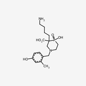 Cc1cc(O)ccc1CN1CCP(=O)(O)C(CCCCN)(C(=O)O)C1